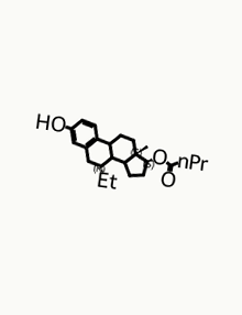 CCCC(=O)O[C@H]1CCC2C3C(CC[C@@]21C)c1ccc(O)cc1C[C@H]3CC